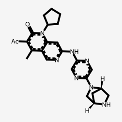 CC(=O)c1c(C)c2cnc(Nc3cnc(N4C[C@@H]5C[C@H]4CN5)cn3)cc2n(C2CCCC2)c1=O